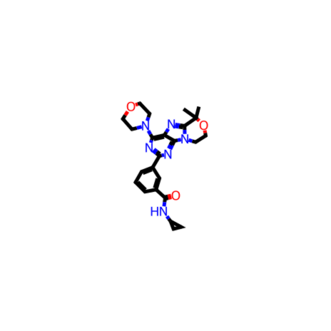 CC1(C)OCCn2c1nc1c(N3CCOCC3)nc(-c3cccc(C(=O)NC4CC4)c3)nc12